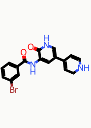 O=C(Nc1cc(C2=CCNC=C2)c[nH]c1=O)c1cccc(Br)c1